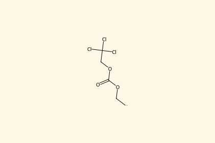 [CH2]COC(=O)OCC(Cl)(Cl)Cl